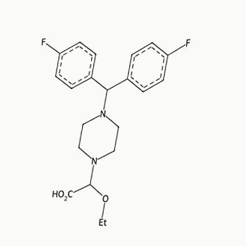 CCOC(C(=O)O)N1CCN(C(c2ccc(F)cc2)c2ccc(F)cc2)CC1